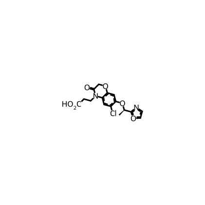 C[C@@H](Oc1cc2c(cc1Cl)N(CCC(=O)O)C(=O)CO2)c1ncco1